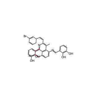 C/C(=C(\C=C/C1C=C(Br)C=CC1)/N=C/c1cccc(O)c1O)c1c(/N=C/c2cccc(O)c2O)ccc2cc(Br)ccc12